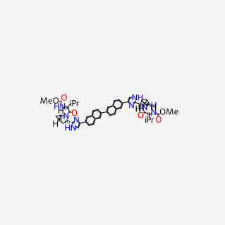 COC(=O)N[C@H](C(=O)N1[C@H](c2nc(-c3ccc4cc(-c5ccc6cc(-c7c[nH]c([C@@H]8C[C@H]9C[C@H]9N8C(=O)[C@@H](NC(=O)OC)C(C)C)n7)ccc6c5)ccc4c3)c[nH]2)C2C3[C@H]2[C@@H]31)C(C)C